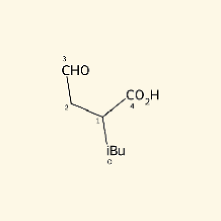 CCC(C)C(CC=O)C(=O)O